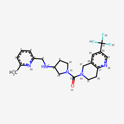 Cc1cccc(CNC2CCN(C(=O)N3CCc4ncc(C(F)(F)F)cc4C3)C2)n1